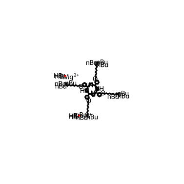 Br.Br.Br.Br.CCCC[N+](CCCC)(CCCC)CCCCCCCCOc1cccc(-c2c3nc(c(-c4cccc(OCCCCCCCC[N+](CCCC)(CCCC)CCCC)c4)c4ccc([nH]4)c(-c4cccc(OCCCCCCCC[N+](CCCC)(CCCC)CCCC)c4)c4nc(c(-c5cccc(OCCCCCCCC[N+](CCCC)(CCCC)CCCC)c5)c5ccc2[nH]5)C=C4)C=C3)c1.[Mg+2]